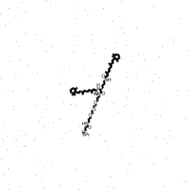 CCCOCCC(=O)NCCCOCCOCCOCCCNC(=O)[C@H](CCCCNC(=O)/C=C(C)/C=C/C=C(C)/C=C/C1=C(C)CCCC1(C)C)NC(=O)/C=C(C)/C=C/C=C(C)/C=C/C1=C(C)CCCC1(C)C